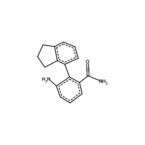 NC(=O)c1cccc(N)c1-c1cccc2c1CCC2